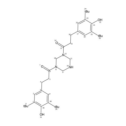 CC(C)(C)c1cc(CCC(=O)N2CNCN(C(=O)CCc3cc(C(C)(C)C)c(O)c(C(C)(C)C)c3)C2)cc(C(C)(C)C)c1O